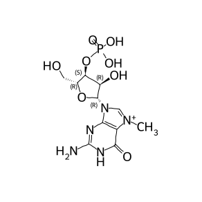 C[n+]1cn([C@@H]2O[C@H](CO)[C@@H](OP(=O)(O)O)[C@H]2O)c2nc(N)[nH]c(=O)c21